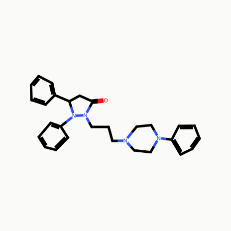 O=C1CC(c2ccccc2)N(c2ccccc2)N1CCCN1CCN(c2ccccc2)CC1